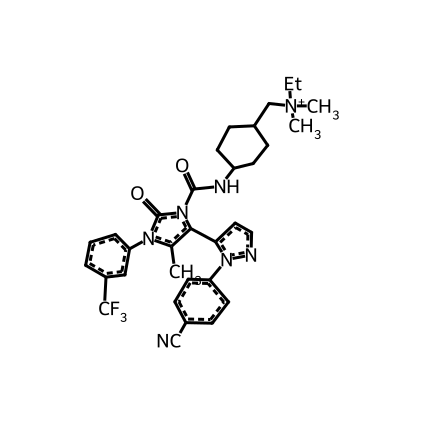 CC[N+](C)(C)CC1CCC(NC(=O)n2c(-c3ccnn3-c3ccc(C#N)cc3)c(C)n(-c3cccc(C(F)(F)F)c3)c2=O)CC1